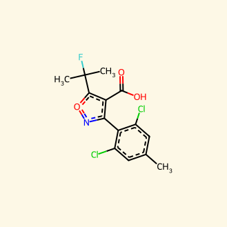 Cc1cc(Cl)c(-c2noc(C(C)(C)F)c2C(=O)O)c(Cl)c1